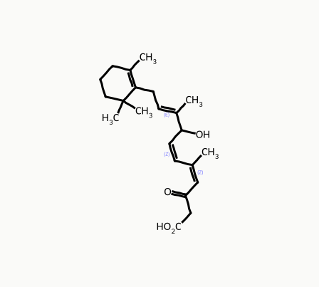 CC1=C(C/C=C(\C)C(O)/C=C\C(C)=C/C(=O)CC(=O)O)C(C)(C)CCC1